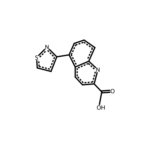 O=C(O)c1ccc2c(-c3ccsn3)cccc2n1